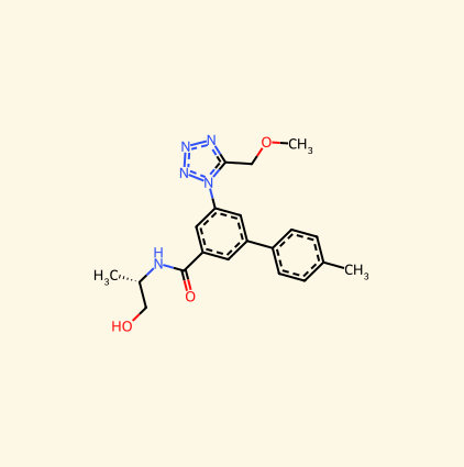 COCc1nnnn1-c1cc(C(=O)N[C@@H](C)CO)cc(-c2ccc(C)cc2)c1